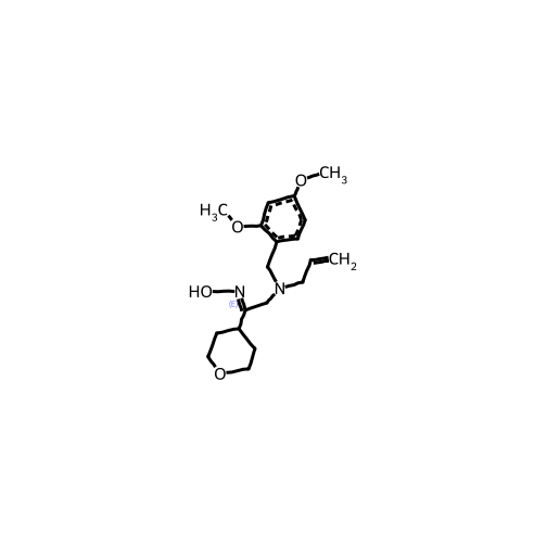 C=CCN(C/C(=N/O)C1CCOCC1)Cc1ccc(OC)cc1OC